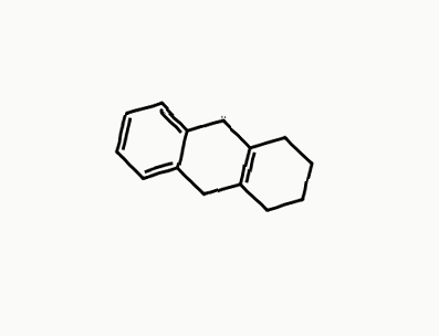 [C]1C2=C(CCCC2)Cc2ccccc21